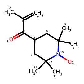 C=C(C)C(=O)C1CC(C)(C)N([O])C(C)(C)C1